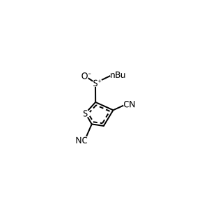 CCCC[S+]([O-])c1sc(C#N)cc1C#N